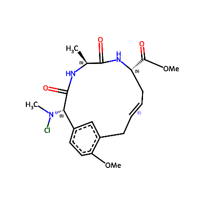 COC(=O)[C@@H]1C/C=C/Cc2cc(ccc2OC)[C@H](N(C)Cl)C(=O)N[C@@H](C)C(=O)N1